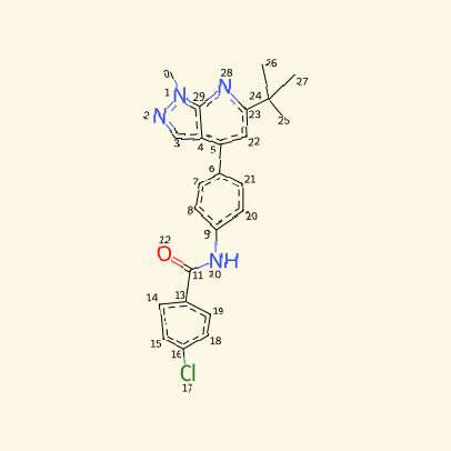 Cn1ncc2c(-c3ccc(NC(=O)c4ccc(Cl)cc4)cc3)cc(C(C)(C)C)nc21